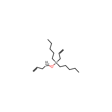 C=CC[SiH2]O[Si](CC=C)(CCCCC)CCCCC